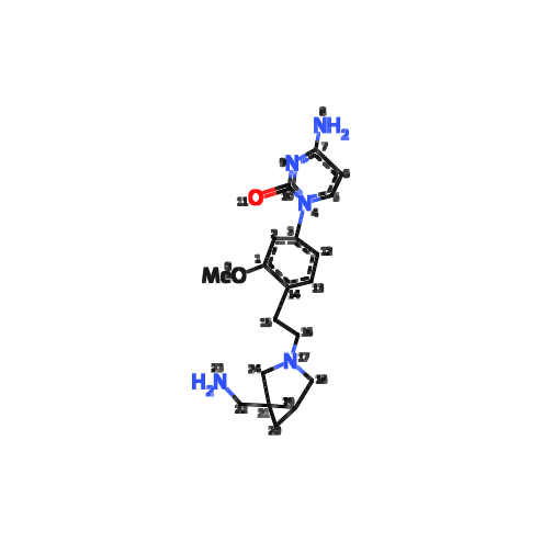 COc1cc(-n2ccc(N)nc2=O)ccc1CCN1CC2CC2(CN)C1